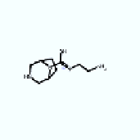 NCC/N=C(\S)N1C2CCC1CNC2